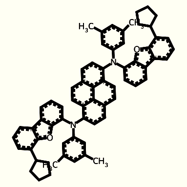 Cc1cc(C)cc(N(c2ccc3ccc4c(N(c5cc(C)cc(C)c5)c5cccc6c5oc5c(C7CCCC7)cccc56)ccc5ccc2c3c54)c2cccc3c2oc2c(C4CCCC4)cccc23)c1